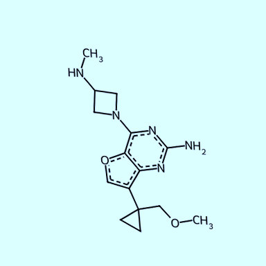 CNC1CN(c2nc(N)nc3c(C4(COC)CC4)coc23)C1